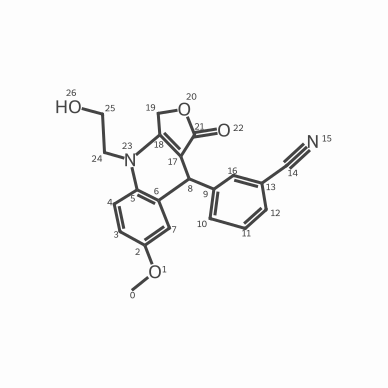 COc1ccc2c(c1)C(c1cccc(C#N)c1)C1=C(COC1=O)N2CCO